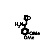 COc1ccc(C(N)Cc2ccco2)cc1OC